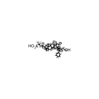 CC(C)C1=C2[C@H]3CC[C@@H]4[C@@]5(C)CC[C@H](OC(=O)CC(C)(C)C(=O)O)C(C)(C)[C@@H]5CC[C@@]4(C)[C@]3(C)CC[C@@]2([C@H](CNCCO)OC(=O)c2ccccc2)CC1=O